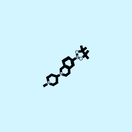 CN1CCC(N2CCc3cc(B4OC(C)(C)C(C)(C)O4)ccc3C2)CC1